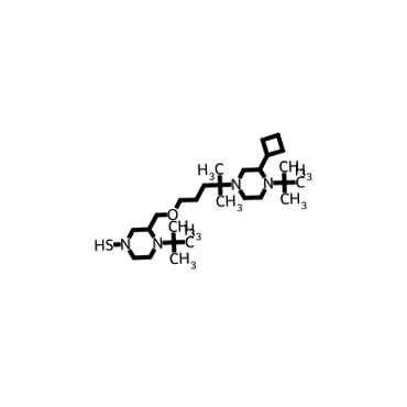 CC(C)(C)N1CCN(S)CC1COCCCC(C)(C)N1CCN(C(C)(C)C)C(C2CCC2)C1